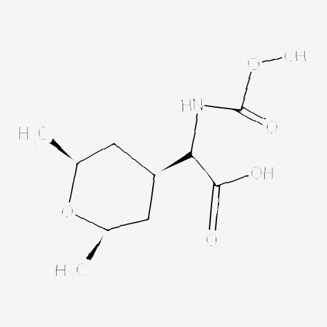 COC(=O)NC(C(=O)O)[C@H]1C[C@@H](C)O[C@@H](C)C1